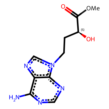 COC(=O)[C@@H](O)CCn1cnc2c(N)ncnc21